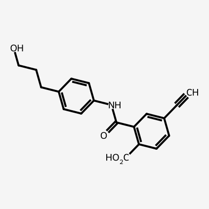 C#Cc1ccc(C(=O)O)c(C(=O)Nc2ccc(CCCO)cc2)c1